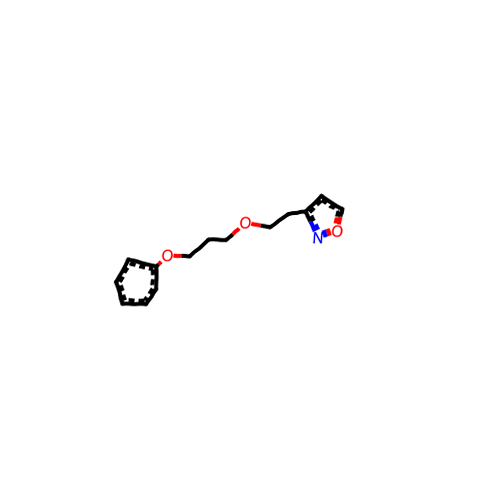 c1ccc(OCCCOCCc2ccon2)cc1